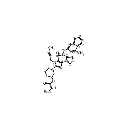 CC#CCn1c(N2CCCC(OC(=O)NC(C)(C)C)C2)nc2c1C(=O)N(Cc1nc(C)c3ccccc3n1)C1=NCCN12